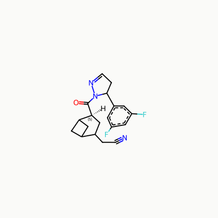 N#CCC1C[C@H](C(=O)N2N=CCC2c2cc(F)cc(F)c2)C2CC1C2